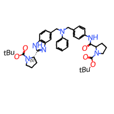 CC(C)(C)OC(=O)N1CCCC1C(=O)Nc1ccc(CN(Cc2ccc3[nH]c([C@@H]4CCCN4C(=O)OC(C)(C)C)nc3c2)c2ccccc2)cc1